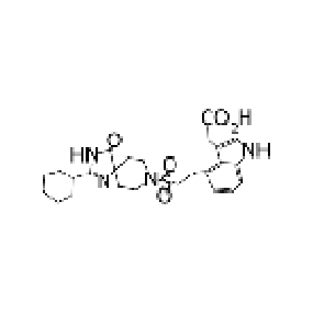 O=C(O)Cc1c[nH]c2cccc(CCS(=O)(=O)N3CCC4(CC3)N=C(C3CCCCC3)NC4=O)c12